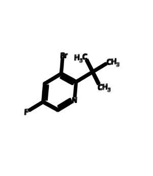 CC(C)(C)c1ncc(F)cc1Br